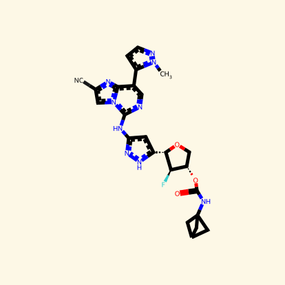 Cn1nccc1-c1cnc(Nc2cc([C@@H]3OC[C@H](OC(=O)NC45CC(C4)C5)[C@H]3F)[nH]n2)n2cc(C#N)nc12